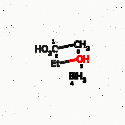 CC(=O)O.CCO.[BiH3]